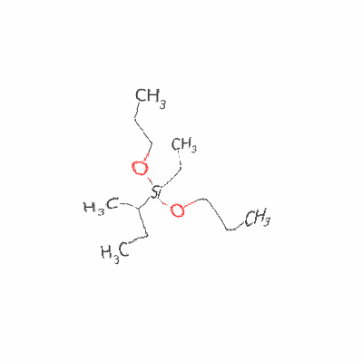 CCCO[Si](CC)(OCCC)C(C)CC